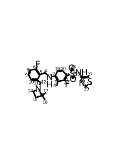 Cc1c(NCc2c(F)cccc2CN2CCC2(C)C)ccc(S(=O)(=O)Nc2cscn2)c1F